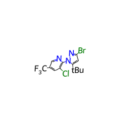 CC(C)(C)c1cc(Br)nn1-c1ncc(C(F)(F)F)cc1Cl